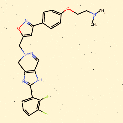 CN(C)CCOc1ccc(-c2cc(CN3Cc4nc(-c5cccc(F)c5F)[nH]c4C=N3)on2)cc1